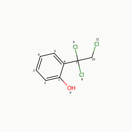 Oc1ccccc1C(Cl)(Cl)CCl